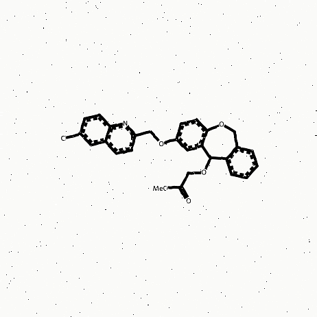 COC(=O)COC1c2ccccc2COc2ccc(OCc3ccc4cc(Cl)ccc4n3)cc21